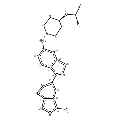 FC(F)O[C@H]1CC[C@H](Nc2ncc3c(-c4cnc5ncc(Cl)n5c4)ccn3n2)CC1